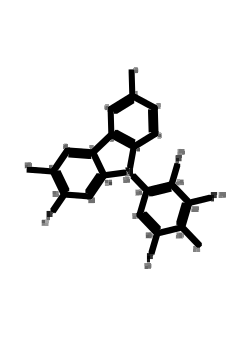 Cc1ccc2c(c1)c1cc(C)c(F)cc1n2-c1cc(F)c(C)c(F)c1F